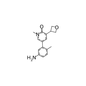 Cc1ccc(N)cc1-c1cc(C2COC2)c(=O)n(C)c1